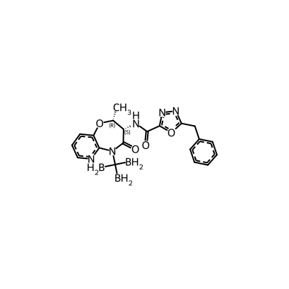 BC(B)(B)N1C(=O)[C@@H](NC(=O)c2nnc(Cc3ccccc3)o2)[C@@H](C)Oc2cccnc21